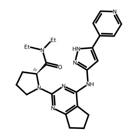 CCN(CC)C(=O)[C@@H]1CCCN1c1nc2c(c(Nc3cc(-c4ccncc4)[nH]n3)n1)CCC2